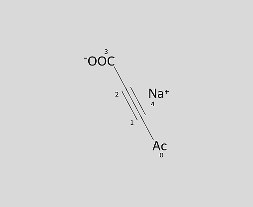 CC(=O)C#CC(=O)[O-].[Na+]